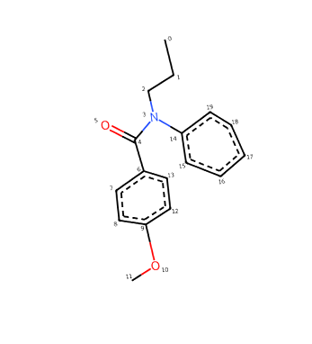 CCCN(C(=O)c1ccc(OC)cc1)c1ccccc1